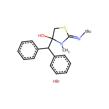 Br.CN1C(=NC(C)(C)C)SCC1(O)C(c1ccccc1)c1ccccc1